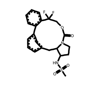 CS(=O)(=O)NC1CCN2C(=O)OCC(F)(F)c3ccccc3-c3cccc(c3)CC12